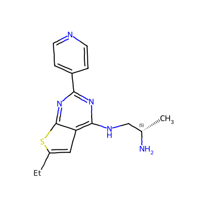 CCc1cc2c(NC[C@H](C)N)nc(-c3ccncc3)nc2s1